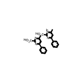 Cc1cc(-c2ccccc2)nc(C(=O)O)n1.Cc1cc(-c2ccccc2)nc(C(=O)O)n1.[Ir]